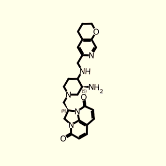 N[C@H]1CN(C[C@@H]2Cn3c(=O)ccc4ccc(=O)n2c43)CCC1NCc1cc2c(cn1)OCCC2